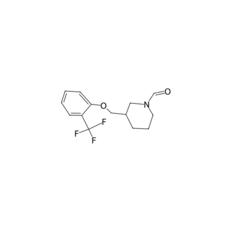 O=CN1CCCC(COc2ccccc2C(F)(F)F)C1